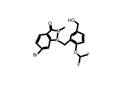 Cn1c(=O)c2ccc(Br)cc2n1Cc1cc(CO)ccc1OC(F)F